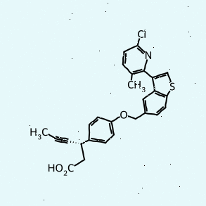 CC#C[C@@H](CC(=O)O)c1ccc(OCc2ccc3scc(-c4nc(Cl)ccc4C)c3c2)cc1